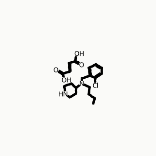 CCCCN(Cc1ccccc1Cl)C1CCNCC1.O=C(O)C=CC(=O)O